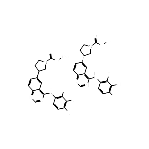 CC(C)(C)OC(=O)N1CCC(c2ccc3ncnc(Nc4ccc(Cl)c(Cl)c4F)c3c2)C1.CC(C)(C)OC(=O)N1CC[C@H](c2ccc3ncnc(Nc4ccc(Cl)c(Cl)c4F)c3c2)C1